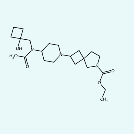 CCOC(=O)N1CCC2(CC(N3CCC(N(CC4(O)CCC4)C(C)=O)CC3)C2)C1